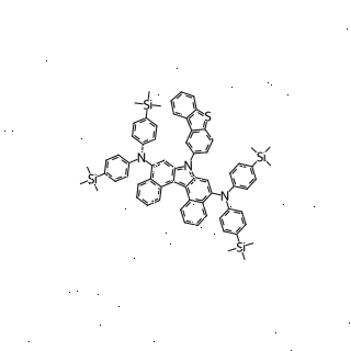 C[Si](C)(C)c1ccc(N(c2ccc([Si](C)(C)C)cc2)c2cc3c(c4ccccc24)c2c4ccccc4c(N(c4ccc([Si](C)(C)C)cc4)c4ccc([Si](C)(C)C)cc4)cc2n3-c2ccc3sc4ccccc4c3c2)cc1